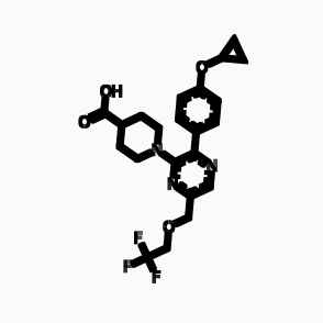 O=C(O)C1CCN(c2nc(COCC(F)(F)F)cnc2-c2ccc(OC3CC3)cc2)CC1